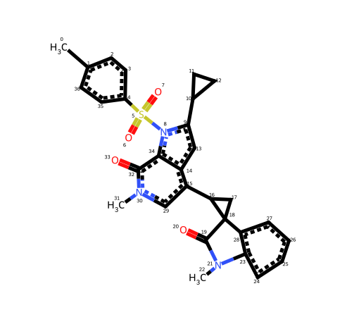 Cc1ccc(S(=O)(=O)n2c(C3CC3)cc3c(C4CC45C(=O)N(C)c4ccccc45)cn(C)c(=O)c32)cc1